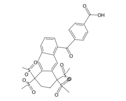 CS(=O)(=O)C1(S(C)(=O)=O)CCC(S(C)(=O)=O)(S(C)(=O)=O)c2cc3c(C(=O)c4ccc(C(=O)O)cc4)cccc3cc21